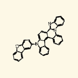 c1ccc2c(c1)nc1c3ccc4c(c5ccccc5n4-c4ccc5oc6ccccc6c5c4)c3c3ccccc3n21